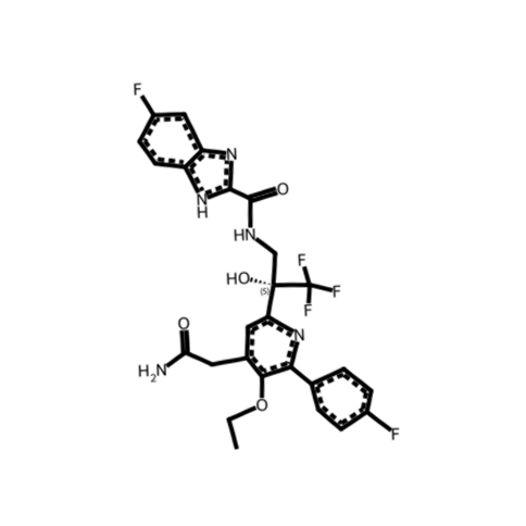 CCOc1c(CC(N)=O)cc([C@@](O)(CNC(=O)c2nc3cc(F)ccc3[nH]2)C(F)(F)F)nc1-c1ccc(F)cc1